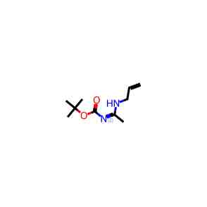 C=CCN/C(C)=N\C(=O)OC(C)(C)C